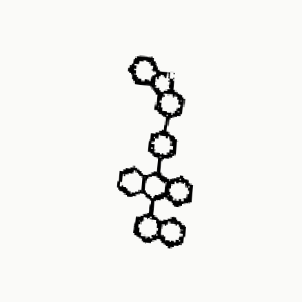 C1=CC2C(c3ccc(-c4ccc5oc6ccccc6c5c4)cc3)=c3ccccc3=C(c3cccc4ccccc34)C2C=C1